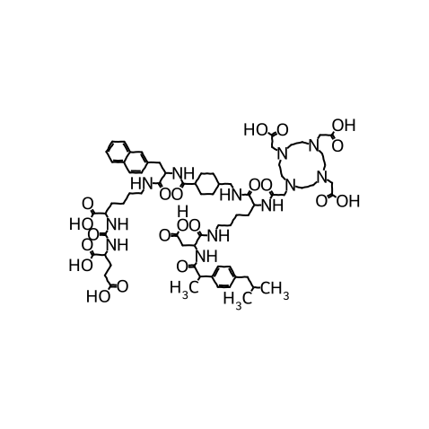 CC(C)Cc1ccc(C(C)C(=O)NC(CC(=O)O)C(=O)NCCCCC(NC(=O)CN2CCN(CC(=O)O)CCN(CC(=O)O)CCN(CC(=O)O)CC2)C(=O)NCC2CCC(C(=O)NC(Cc3ccc4ccccc4c3)C(=O)NCCCCC(NC(=O)NC(CCC(=O)O)C(=O)O)C(=O)O)CC2)cc1